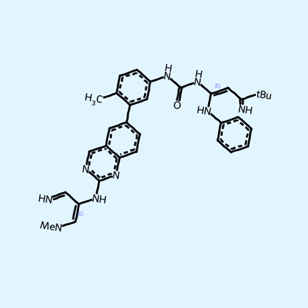 CN/C=C(\C=N)Nc1ncc2cc(-c3cc(NC(=O)N/C(=C/C(=N)C(C)(C)C)Nc4ccccc4)ccc3C)ccc2n1